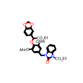 CCOC(=O)C(Oc1c(OC)cc(Cn2c(=O)n(C(=O)OCC)c3ccccc32)cc1OC)c1ccc2c(c1)OCO2